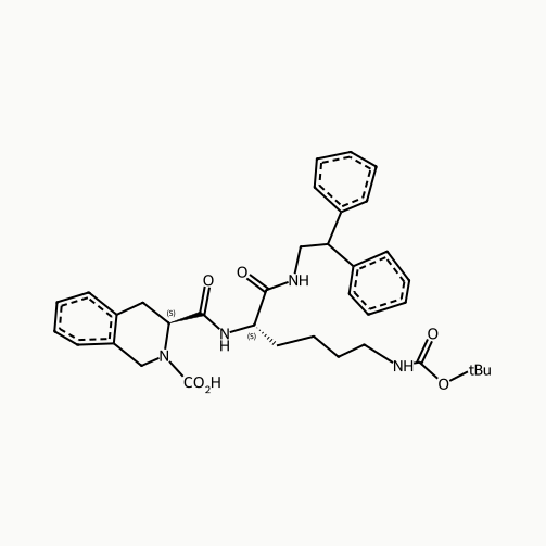 CC(C)(C)OC(=O)NCCCC[C@H](NC(=O)[C@@H]1Cc2ccccc2CN1C(=O)O)C(=O)NCC(c1ccccc1)c1ccccc1